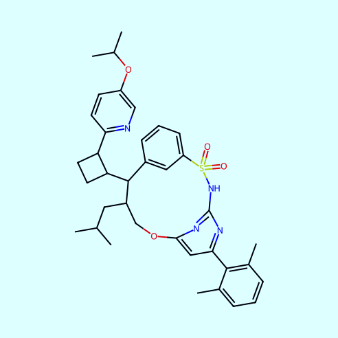 Cc1cccc(C)c1-c1cc2nc(n1)NS(=O)(=O)c1cccc(c1)C(C1CCC1c1ccc(OC(C)C)cn1)C(CC(C)C)CO2